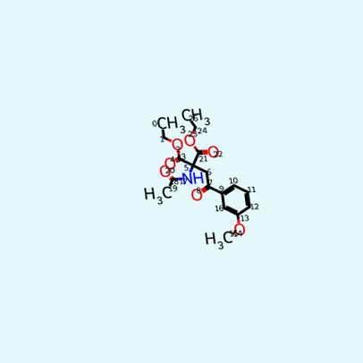 CCOC(=O)C(CC(=O)c1cccc(OC)c1)(NC(C)=O)C(=O)OCC